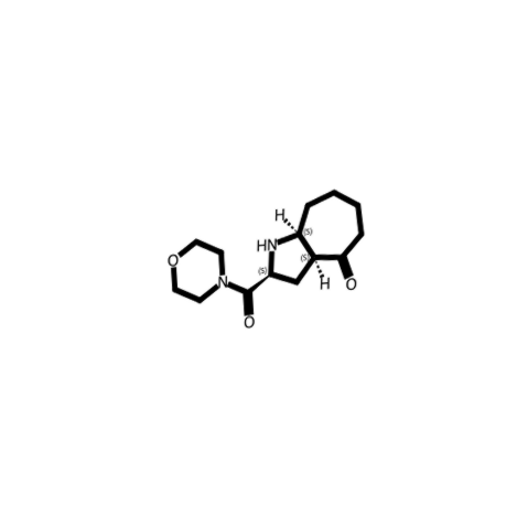 O=C1CCCC[C@@H]2N[C@H](C(=O)N3CCOCC3)C[C@H]12